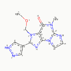 CCCOCn1c(-c2cn[nH]c2)nc2c1c(=O)n(CCC)c1nccn21